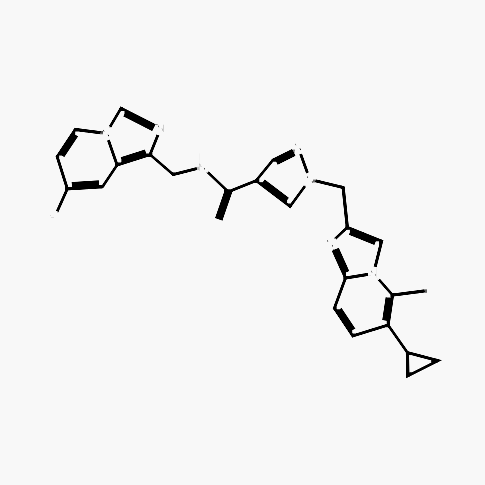 O=C(NCc1ncn2ccc(Br)cc12)c1cnn(Cc2cn3c(F)c(C4CC4)ccc3n2)c1